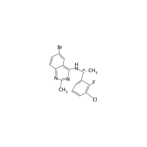 Cc1nc(N[C@H](C)c2cccc(Cl)c2F)c2cc(Br)ccc2n1